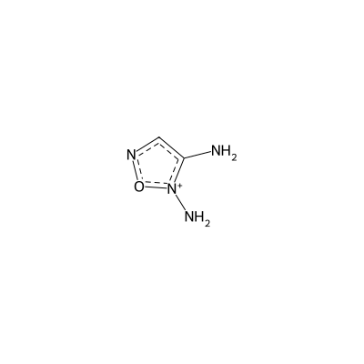 Nc1cno[n+]1N